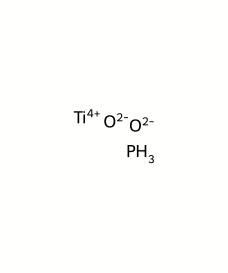 P.[O-2].[O-2].[Ti+4]